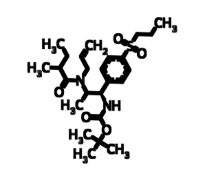 C=CCN(C(=O)C(C)CC)C(C)[C@H](NC(=O)OC(C)(C)C)c1ccc(S(=O)(=O)CCC)cc1